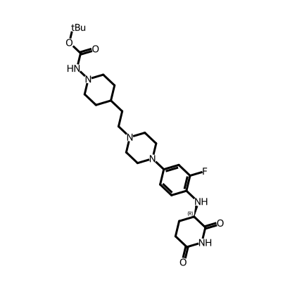 CC(C)(C)OC(=O)NN1CCC(CCN2CCN(c3ccc(N[C@@H]4CCC(=O)NC4=O)c(F)c3)CC2)CC1